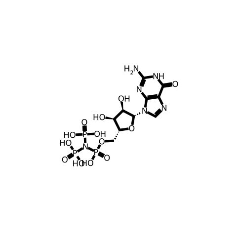 Nc1nc2c(ncn2[C@@H]2O[C@H](COP(=O)(O)N(P(=O)(O)O)P(=O)(O)O)[C@@H](O)[C@H]2O)c(=O)[nH]1